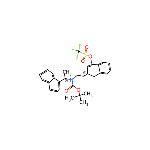 C[C@H](c1cccc2ccccc12)N(CC[C@H]1C=C(OS(=O)(=O)C(F)(F)F)c2ccccc2C1)C(=O)OC(C)(C)C